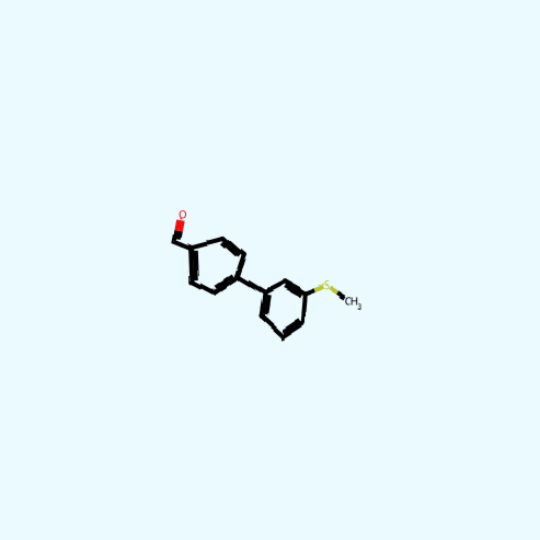 CSc1cccc(-c2ccc(C=O)cc2)c1